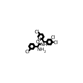 NC(C(=O)N[C@@H](c1ccc(Cl)c(Cl)c1)c1ccc(Cl)cn1)c1cccc(Cl)c1